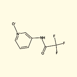 O=C(Nc1ccc[n+]([O-])c1)C(F)(F)F